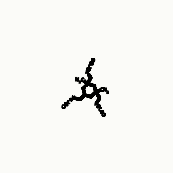 CC1(CN=C=O)CC(CN=C=O)CC(C)(CN=C=O)C1